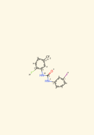 O=C(Nc1cccc(I)c1)Nc1cc(C(F)(F)F)ccc1F